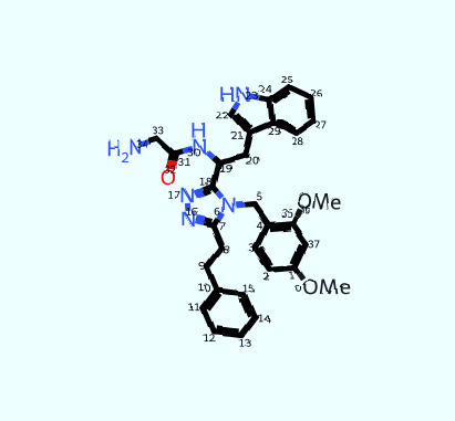 COc1ccc(Cn2c(CCc3ccccc3)nnc2C(Cc2c[nH]c3ccccc23)NC(=O)CN)c(OC)c1